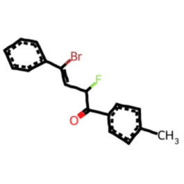 Cc1ccc(C(=O)C(F)C=C(Br)c2ccccc2)cc1